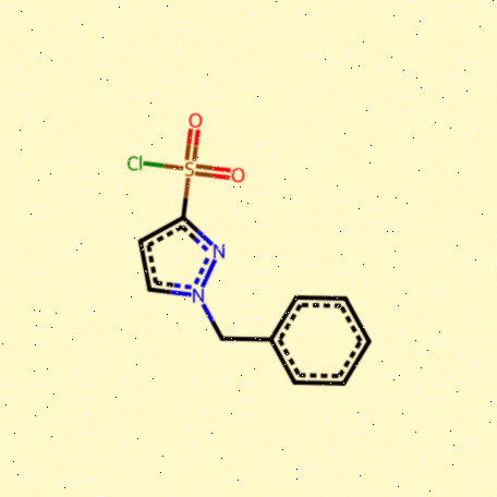 O=S(=O)(Cl)c1ccn(Cc2ccccc2)n1